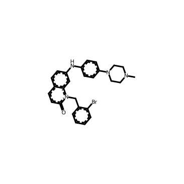 CN1CCN(c2ccc(Nc3ccc4ccc(=O)n(Cc5ccccc5Br)c4c3)cc2)CC1